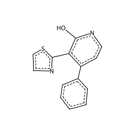 Oc1nccc(-c2ccccc2)c1-c1nccs1